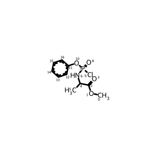 COC(=O)C(C)NP(=O)(Cl)Oc1ccccc1